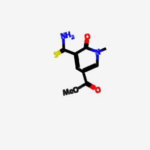 COC(=O)c1cc(C(N)=S)c(=O)n(C)c1